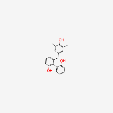 Cc1cc(Cc2cccc(O)c2-c2ccccc2O)cc(C)c1O